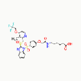 Cc1c(OCC(F)(F)F)ccnc1C[S+]([O-])c1nc2ccccc2n1S(=O)(=O)c1ccc(OCC(=O)NCCCCCC(=O)O)cc1